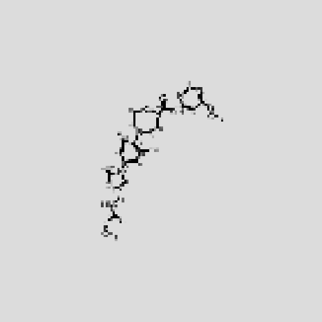 COC(=S)NC[C@H]1CN(c2cc(F)c(N3CCON(C(=O)Nc4cc(OC)ncn4)CC3)c(F)c2)C(=O)O1